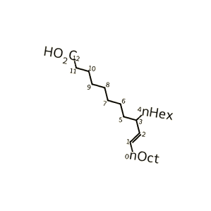 CCCCCCCCC=CC(CCCCCC)CCCCCCCC(=O)O